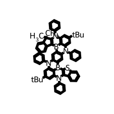 CC(C)(C)c1cc2c3c(c1)N(c1ccccc1)c1cc4c(cc1B3C1=C(N2c2ccccc2)C(C)(C)c2ccccc21)N(c1ccccc1)c1cc(C(C)(C)C)cc2c1B4c1sc3ccccc3c1N2c1ccccc1